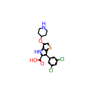 O=C(O)c1[nH]c2c(OC3CCNCC3)csc2c1-c1cc(Cl)cc(Cl)c1